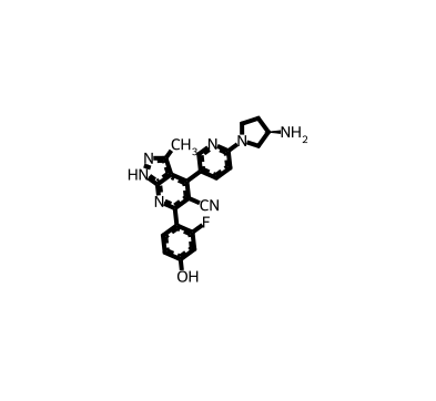 Cc1n[nH]c2nc(-c3ccc(O)cc3F)c(C#N)c(-c3ccc(N4CC[C@@H](N)C4)nc3)c12